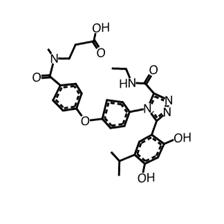 CCNC(=O)c1nnc(-c2cc(C(C)C)c(O)cc2O)n1-c1ccc(Oc2ccc(C(=O)N(C)CCC(=O)O)cc2)cc1